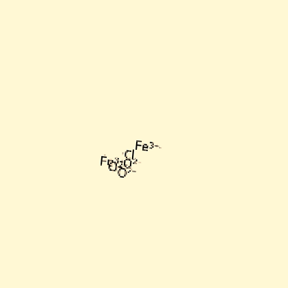 [Cl].[Fe+3].[Fe+3].[O-2].[O-2].[O-2]